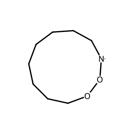 C1CCCCOO[N]CCC1